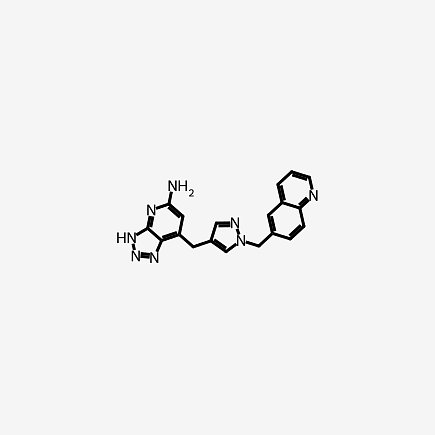 Nc1cc(Cc2cnn(Cc3ccc4ncccc4c3)c2)c2nn[nH]c2n1